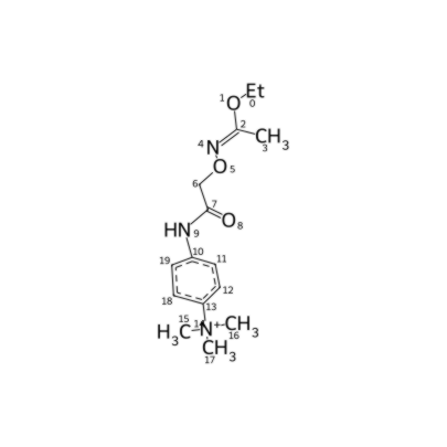 CCO/C(C)=N/OCC(=O)Nc1ccc([N+](C)(C)C)cc1